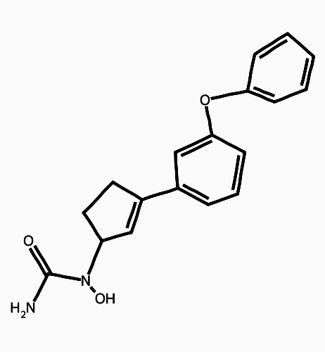 NC(=O)N(O)C1C=C(c2cccc(Oc3ccccc3)c2)CC1